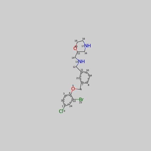 Clc1ccc(OCc2cccc(CNCC3CNCCO3)c2)c(Br)c1